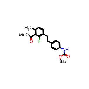 COC(=O)c1c(C)ccc(CCc2ccc(NC(=O)OC(C)(C)C)cc2)c1F